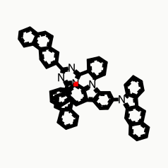 c1ccc(-n2c3cc(-n4c5ccccc5c5cc6ccccc6cc54)ccc3c3cc4ccccc4cc32)c(-c2nc(-c3ccc4ccccc4c3)nc(-c3ccc4c(ccc5ccccc54)c3)n2)c1